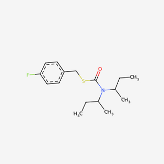 CCC(C)N(C(=O)SCc1ccc(F)cc1)C(C)CC